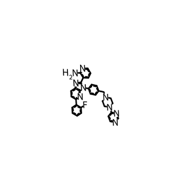 Nc1ncccc1-c1nc2ccc(-c3ccccc3F)nc2n1-c1ccc(CN2CCN(c3ccncn3)CC2)cc1